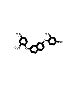 O=[N+]([O-])c1ccc(Oc2ccc3ccc(Oc4ccc([N+](=O)[O-])cc4[N+](=O)[O-])cc3c2)c([N+](=O)[O-])c1